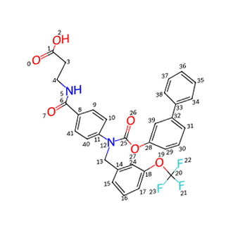 O=C(O)CCNC(=O)c1ccc(N(Cc2cccc(OC(F)(F)F)c2)C(=O)Oc2cccc(-c3ccccc3)c2)cc1